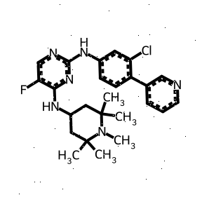 CN1C(C)(C)CC(Nc2nc(Nc3ccc(-c4cccnc4)c(Cl)c3)ncc2F)CC1(C)C